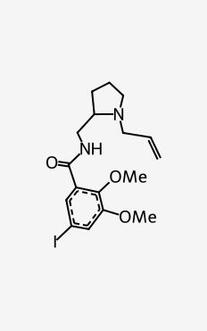 C=CCN1CCCC1CNC(=O)c1cc(I)cc(OC)c1OC